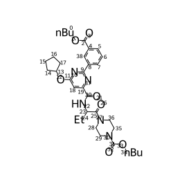 CCCCOC(=O)c1cccc(-c2nc(OC3CCCC3)cc(C(=O)NC(CC)C(=O)N3CCN(C(=O)OCCCC)CC3)n2)c1